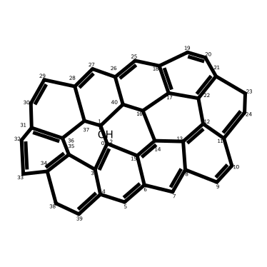 OC12c3c4c5cc6cc7ccc8c9c7c(c36)C3c6c(ccc(c6-9)CC=8)C=C(C=C6C=Cc7ccc(c-4c7C61)CC=5)C32